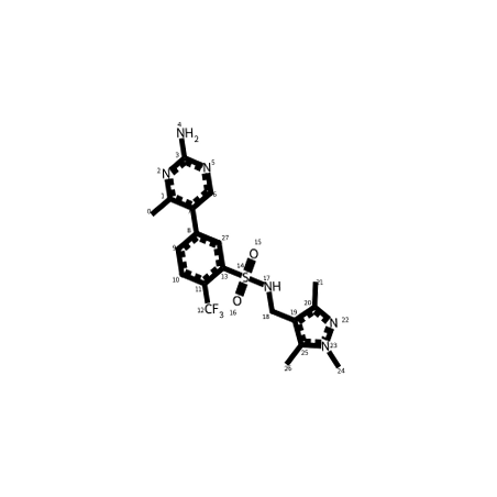 Cc1nc(N)ncc1-c1ccc(C(F)(F)F)c(S(=O)(=O)NCc2c(C)nn(C)c2C)c1